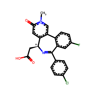 Cn1cc2c(cc1=O)[C@H](CC(=O)O)N=C(c1ccc(Cl)cc1)c1cc(F)ccc1-2